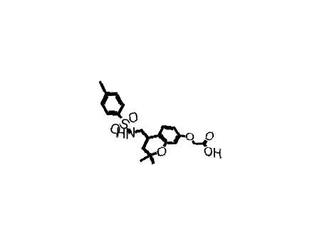 Cc1ccc(S(=O)(=O)NCC2CC(C)(C)Oc3cc(OCC(=O)O)ccc32)cc1